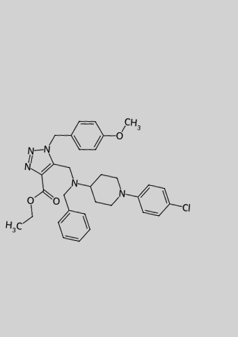 CCOC(=O)c1nnn(Cc2ccc(OC)cc2)c1CN(Cc1ccccc1)C1CCN(c2ccc(Cl)cc2)CC1